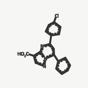 O=C(O)c1cnn2c(-c3ccccc3)cc(-c3ccc(Cl)cc3)nc12